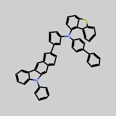 c1ccc(-c2ccc(N(c3cccc(-c4ccc5cc6c(cc5c4)c4ccccc4n6-c4ccccc4)c3)c3cccc4sc5ccccc5c34)cc2)cc1